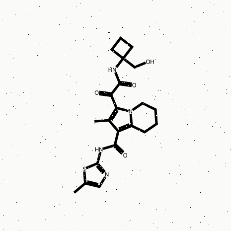 Cc1cnc(NC(=O)c2c(C)c(C(=O)C(=O)NC3(CO)CCC3)n3c2CCCC3)s1